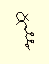 COC(=O)CC(=O)C=CC1=C(C)CCCC1(C)C